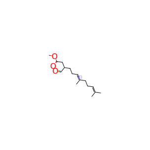 COC(=O)CC(C=O)CC/C=C(\C)CCC=C(C)C